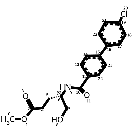 COC(=O)CC[C@@H](CO)NC(=O)c1ccc(-c2ccc(Cl)cc2)cc1